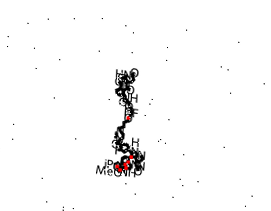 COC(=O)N[C@@H]1CC[C@@H](n2c(=O)n(C)c3cnc4[nH]c(-c5ccc(C(=O)N6CCN(CCCCOCC(F)(F)COCC(=O)Nc7cccc8c7C(=O)N(C7CCC(=O)NC7=O)C8=O)CC6)c(F)c5)c(-c5ccc6c(cnn6C(C)C)c5)c4c32)C1